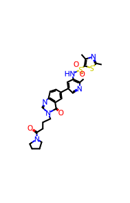 Cc1nc(C)c(S(=O)(=O)Nc2cc(-c3ccc4ncn(CCCC(=O)N5CCCC5)c(=O)c4c3)cnc2C)s1